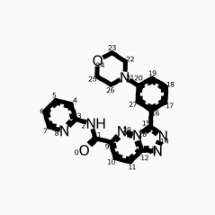 O=C(Nc1ccccn1)c1ccc2nnc(-c3cccc(N4CCOCC4)c3)n2n1